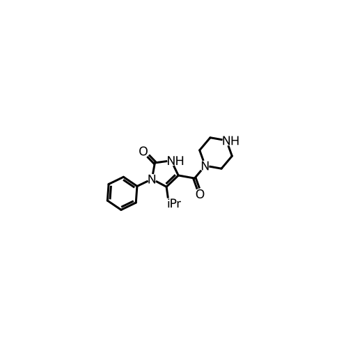 CC(C)c1c(C(=O)N2CCNCC2)[nH]c(=O)n1-c1ccccc1